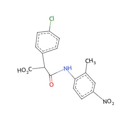 Cc1cc([N+](=O)[O-])ccc1NC(=O)C(C(=O)O)c1ccc(Cl)cc1